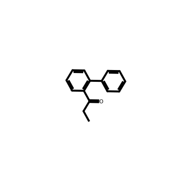 CCC(=O)c1[c]cccc1-c1ccccc1